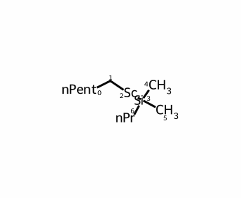 CCCCC[CH2][Sc][Si](C)(C)CCC